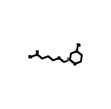 CCNCCCOC[C@@H]1CN(CC)CCO1